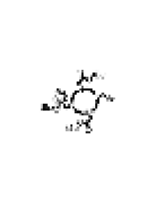 CC(=O)CN1CCN(CC(=O)OC(C)(C)C)CCN(CP(=O)(OC(C)(C)C)OC(C)(C)C)CCN(CC(=O)OC(C)(C)C)CC1